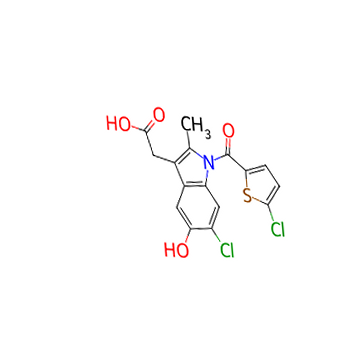 Cc1c(CC(=O)O)c2cc(O)c(Cl)cc2n1C(=O)c1ccc(Cl)s1